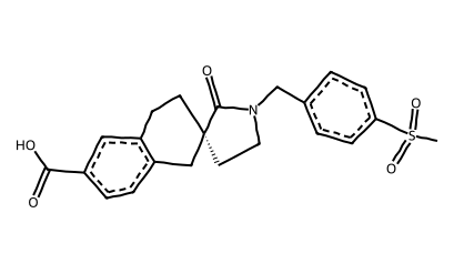 CS(=O)(=O)c1ccc(CN2CC[C@]3(CCc4cc(C(=O)O)ccc4C3)C2=O)cc1